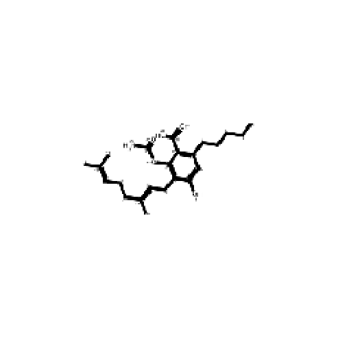 CCCCCc1cc(O)c(C/C=C(\C)CCC=C(C)C)c(OC(N)=O)c1C(=O)O